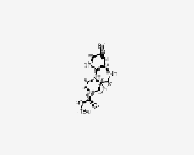 CC(C)(C)OC(=O)N1CCN2c3ncc(Br)cc3NC[C@H]2C1